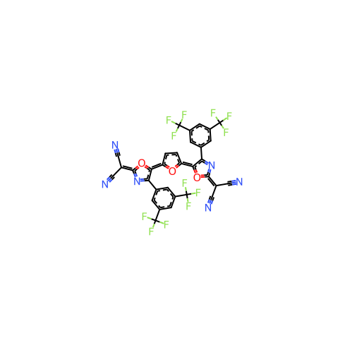 N#CC(C#N)=c1nc(-c2cc(C(F)(F)F)cc(C(F)(F)F)c2)/c(=c2\cc/c(=c3\oc(=C(C#N)C#N)nc3-c3cc(C(F)(F)F)cc(C(F)(F)F)c3)o2)o1